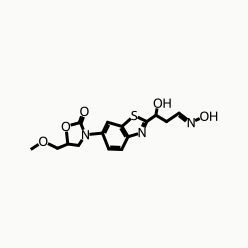 COCC1CN(c2ccc3nc(C(O)C/C=N/O)sc3c2)C(=O)O1